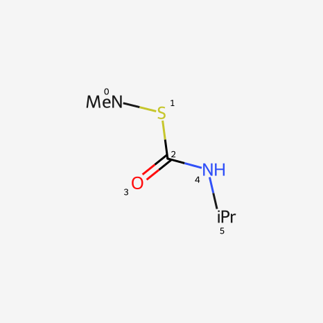 CNSC(=O)NC(C)C